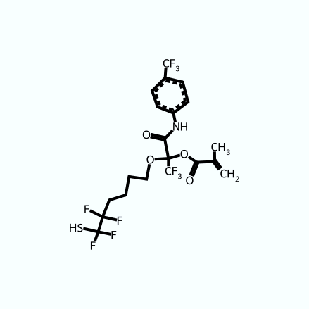 C=C(C)C(=O)OC(OCCCCC(F)(F)C(F)(F)S)(C(=O)Nc1ccc(C(F)(F)F)cc1)C(F)(F)F